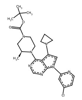 C[C@H]1CN(C(=O)OC(C)(C)C)CCN1c1ncnc2c1c(N1CCC1)cn2-c1cc(Cl)ccn1